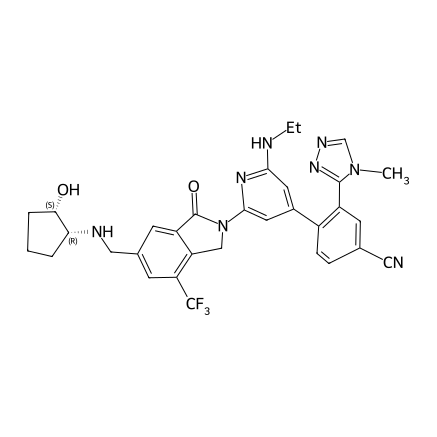 CCNc1cc(-c2ccc(C#N)cc2-c2nncn2C)cc(N2Cc3c(cc(CN[C@@H]4CCC[C@@H]4O)cc3C(F)(F)F)C2=O)n1